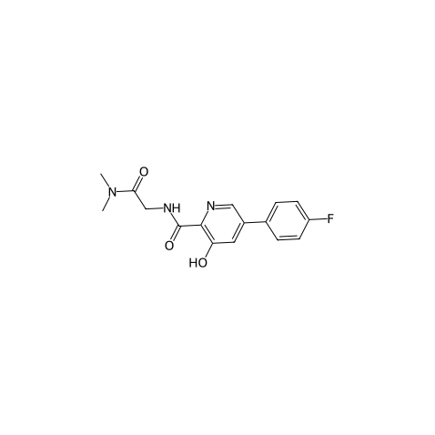 CN(C)C(=O)CNC(=O)c1ncc(-c2ccc(F)cc2)cc1O